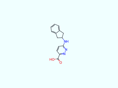 O=C(O)c1ccc(NC2Cc3ccccc3C2)nn1